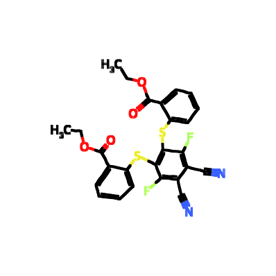 CCOC(=O)c1ccccc1Sc1c(F)c(C#N)c(C#N)c(F)c1Sc1ccccc1C(=O)OCC